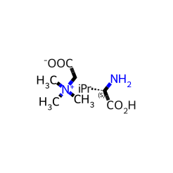 CC(C)[C@H](N)C(=O)O.C[N+](C)(C)CC(=O)[O-]